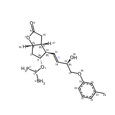 BP(P)O[C@@H]1C[C@@H]2OC(=O)C[C@@H]2[C@H]1/C=C/[C@@H](O)COc1cccc(C)c1